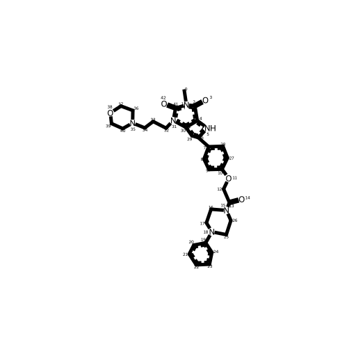 Cn1c(=O)c2[nH]c(-c3ccc(OCC(=O)N4CCN(c5ccccc5)CC4)cc3)cc2n(CCCN2CCOCC2)c1=O